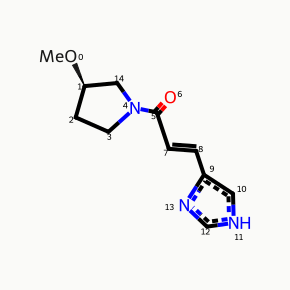 CO[C@@H]1CCN(C(=O)/C=C/c2c[nH]cn2)C1